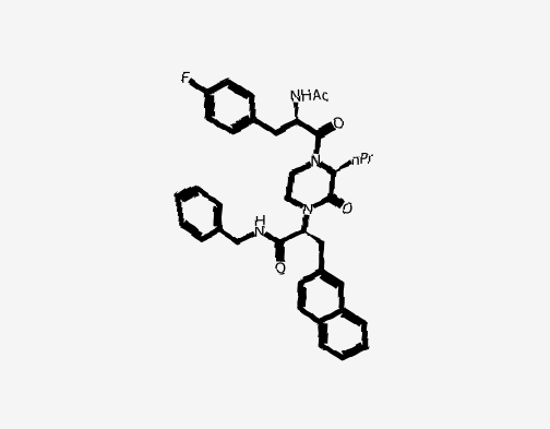 CCC[C@H]1C(=O)N([C@@H](Cc2ccc3ccccc3c2)C(=O)NCc2ccccc2)CCN1C(=O)[C@@H](Cc1ccc(F)cc1)NC(C)=O